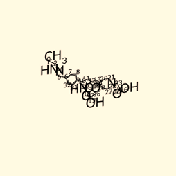 CCCNN=Cc1ccc(C2CC(CC3(OCC(=O)O)CCN(CC(=O)O)CC3)ON2)cc1